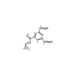 C=COC(=O)c1cc(CCCCCCC)cc(CCCCCCC)c1